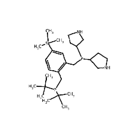 CC(C)(C)P(Cc1ccc([Si](C)(C)C)cc1CP(C1CCNC1)C1CCNC1)C(C)(C)C